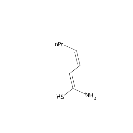 CCC/C=C\C=C(/N)S